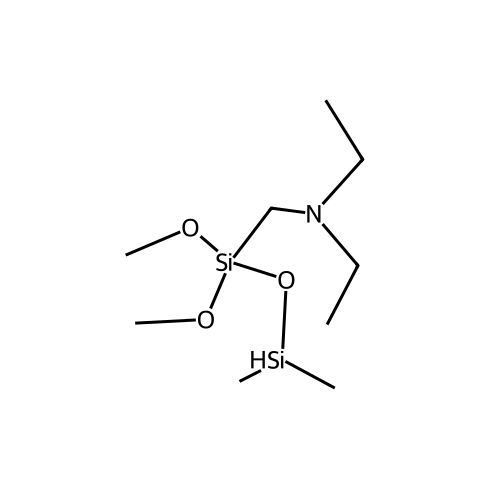 CCN(CC)C[Si](OC)(OC)O[SiH](C)C